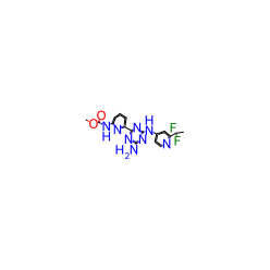 COC(=O)Nc1cccc(-c2nc(N)nc(Nc3ccnc(C(C)(F)F)c3)n2)n1